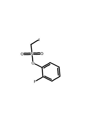 O=S(=O)(CI)Oc1ccccc1F